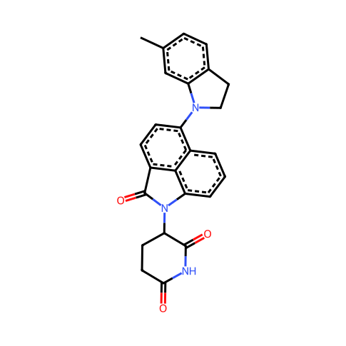 Cc1ccc2c(c1)N(c1ccc3c4c(cccc14)N(C1CCC(=O)NC1=O)C3=O)CC2